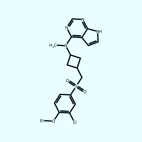 CCOc1ccc(S(=O)(=O)CC2CC(N(C)c3ncnc4[nH]ccc34)C2)cc1Cl